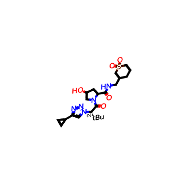 CC(C)(C)[C@@H](C(=O)N1CC(O)CC1C(=O)NCC1CCCS(=O)(=O)C1)n1cc(C2CC2)nn1